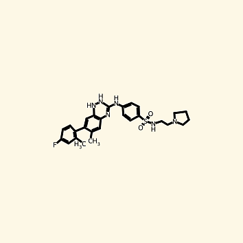 Cc1cc(F)ccc1-c1cc2c(cc1C)N=C(Nc1ccc(S(=O)(=O)NCCN3CCCC3)cc1)NN2